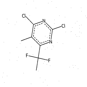 Cc1c(Cl)nc(Cl)nc1C(C)(F)F